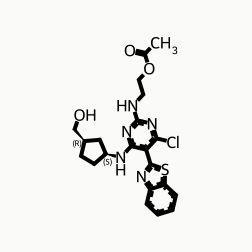 CC(=O)OCCNc1nc(Cl)c(-c2nc3ccccc3s2)c(N[C@H]2CC[C@@H](CO)C2)n1